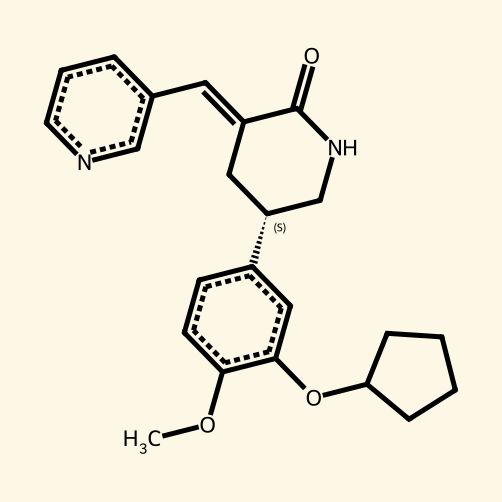 COc1ccc([C@H]2CNC(=O)C(=Cc3cccnc3)C2)cc1OC1CCCC1